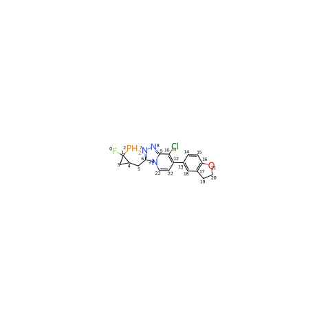 FC1(P)CC1Cc1nnc2c(Cl)c(-c3ccc4c(c3)CCO4)ccn12